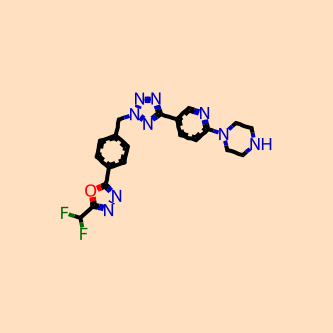 FC(F)c1nnc(-c2ccc(Cn3nnc(-c4ccc(N5CCNCC5)nc4)n3)cc2)o1